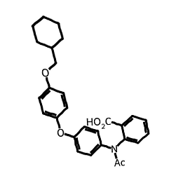 CC(=O)N(c1ccc(Oc2ccc(OCC3CCCCC3)cc2)cc1)c1ccccc1C(=O)O